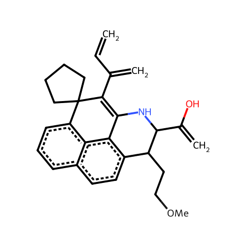 C=CC(=C)C1=C2NC(C(=C)O)C(CCOC)c3ccc4cccc(c4c32)C12CCCC2